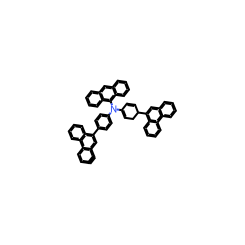 c1ccc2c(c#1)cc(-c1ccc(N(C3=CCC(c4cc5ccccc5c5ccccc45)C=C3)c3c4ccccc4cc4ccccc34)cc1)c1ccccc12